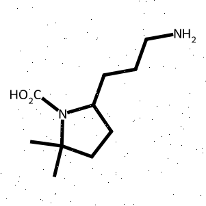 CC1(C)CCC(CCCN)N1C(=O)O